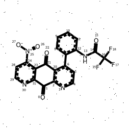 O=C1c2nccc(-c3ccccc3NC(=O)C(F)(F)F)c2C(=O)c2c([N+](=O)[O-])ccnc21